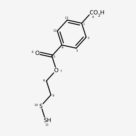 O=C(O)c1ccc(C(=O)OCCSS)cc1